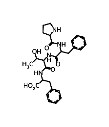 CC(O)C(NC(=O)C(Cc1ccccc1)NC(=O)C1CCCN1)C(=O)NC(Cc1ccccc1)C(=O)O